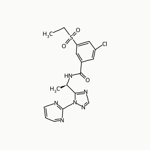 CCS(=O)(=O)c1cc(Cl)cc(C(=O)N[C@H](C)c2ncnn2-c2ncccn2)c1